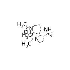 CC(C)N1CCC(NC2(C3CCN(C(C)C)C3)CC2)CC1